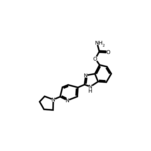 NC(=O)Oc1cccc2[nH]c(-c3ccc(N4CCCC4)nc3)nc12